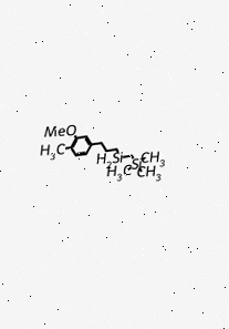 COc1cc(CCC[SiH2]C[Si](C)(C)C)ccc1C